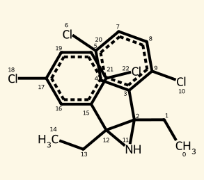 CCC1(c2cc(Cl)ccc2Cl)NC1(CC)c1cc(Cl)ccc1Cl